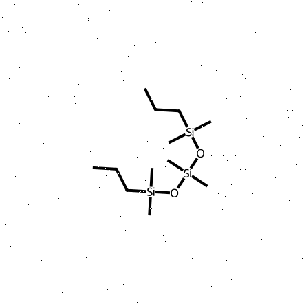 CCC[Si](C)(C)O[Si](C)(C)O[Si](C)(C)CCC